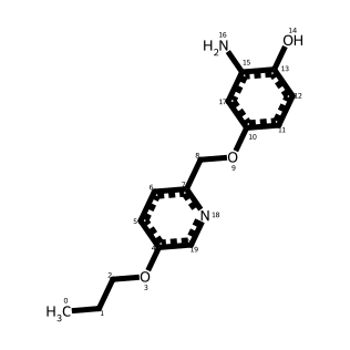 CCCOc1ccc(COc2ccc(O)c(N)c2)nc1